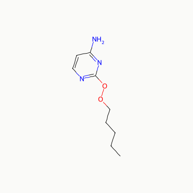 CCCCCOOc1nccc(N)n1